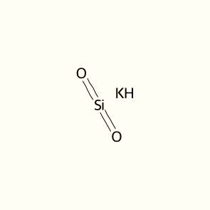 O=[Si]=O.[KH]